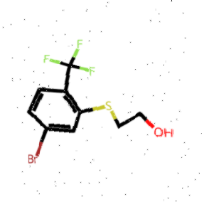 OCCSc1cc(Br)ccc1C(F)(F)F